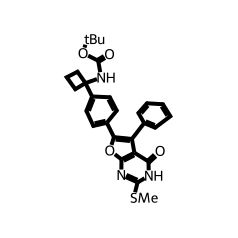 CSc1nc2oc(-c3ccc(C4(NC(=O)OC(C)(C)C)CCC4)cc3)c(-c3ccccc3)c2c(=O)[nH]1